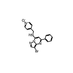 [O-][n+]1ccc(CNc2cc(-c3ccccc3)nc3c(Br)cnn23)cc1